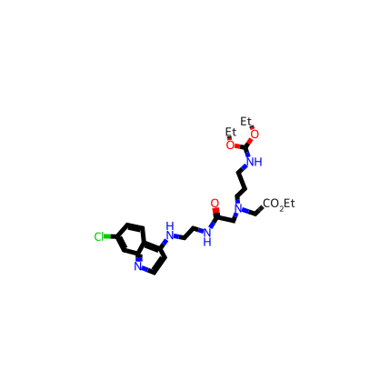 CCOC(=O)CN(CCCNC(OCC)OCC)CC(=O)NCCNc1ccnc2cc(Cl)ccc12